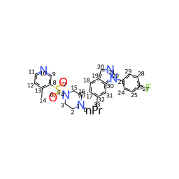 CCCN1CCN(S(=O)(=O)c2cnccc2C)C[C@@H]1c1cc2cnn(-c3ccc(F)cc3)c2cc1C